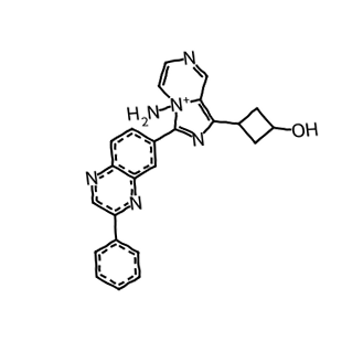 N[N+]12C=CN=CC1=C(C1CC(O)C1)N=C2c1ccc2ncc(-c3ccccc3)nc2c1